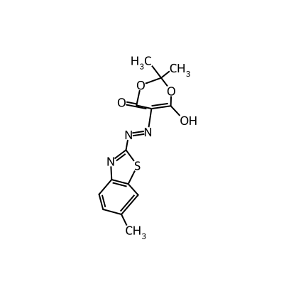 Cc1ccc2nc(N=NC3=C(O)OC(C)(C)OC3=O)sc2c1